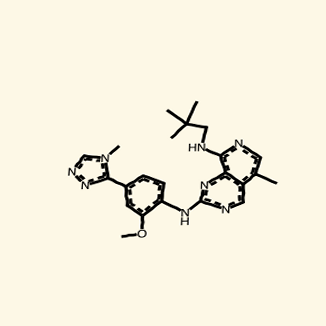 COc1cc(-c2nncn2C)ccc1Nc1ncc2c(C)cnc(NCC(C)(C)C)c2n1